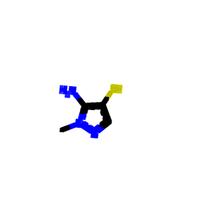 Cn1ncc(S)c1N